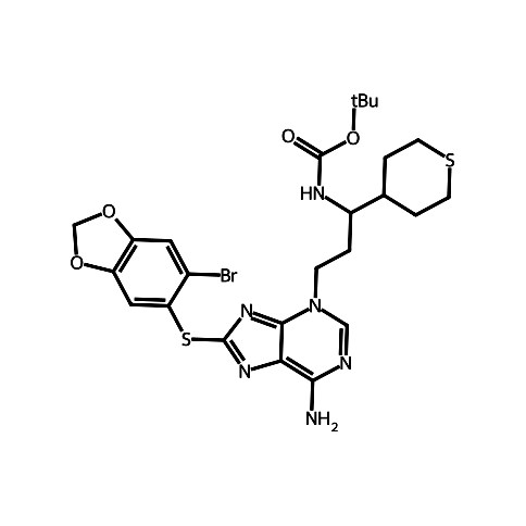 CC(C)(C)OC(=O)NC(CCn1cnc(N)c2nc(Sc3cc4c(cc3Br)OCO4)nc1-2)C1CCSCC1